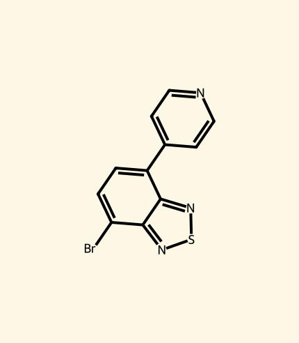 Brc1ccc(-c2ccncc2)c2nsnc12